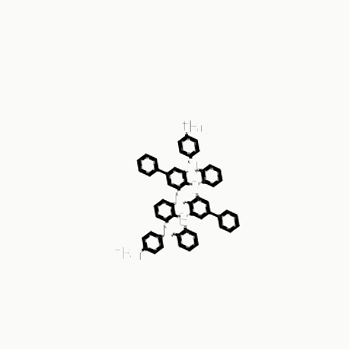 CC(C)(C)c1ccc(N2c3ccccc3B3c4cc(-c5ccccc5)cc5c4N(c4cccc2c43)c2cc(-c3ccccc3)cc3c2B5c2ccccc2N3c2ccc(C(C)(C)C)cc2)cc1